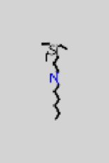 C=C[Si](CC)(CC)CCC=NCCCCCC